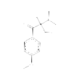 COc1ccc(C(=O)C(Cl)(CCl)C(C)C)cc1